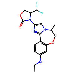 CCNc1ccc2c(c1)OCC(C)n1cc(N3C(=O)OCC3C(F)F)nc1-2